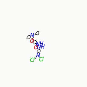 O=C(Nc1ccc(Oc2cc(-c3ccccc3)nc3ccccc23)cc1)Nc1ccc(N(CCCl)CCCl)cc1